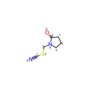 N#CSCN1CCCC1=O